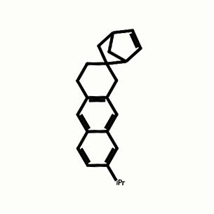 CC(C)c1ccc2cc3c(cc2c1)CC1(CC3)CC2C=CC1C2